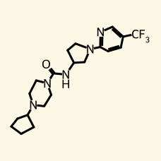 O=C(NC1CCN(c2ccc(C(F)(F)F)cn2)C1)N1CCN(C2CCCC2)CC1